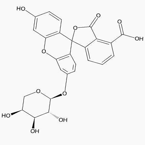 O=C(O)c1cccc2c1C(=O)OC21c2ccc(O)cc2Oc2cc(O[C@@H]3OC[C@H](O)[C@H](O)[C@H]3O)ccc21